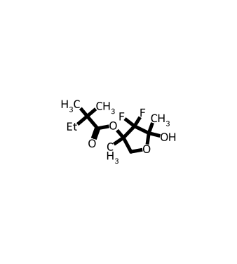 CCC(C)(C)C(=O)OC1(C)COC(C)(O)C1(F)F